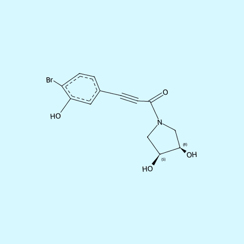 O=C(C#Cc1ccc(Br)c(O)c1)N1C[C@@H](O)[C@@H](O)C1